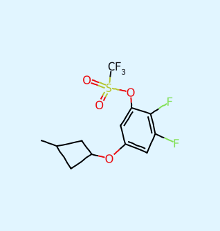 CC1CC(Oc2cc(F)c(F)c(OS(=O)(=O)C(F)(F)F)c2)C1